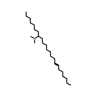 CCCCCCC=CCCCCCCCC(CCCCCCC)N(C)C